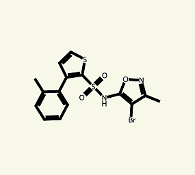 Cc1ccccc1-c1ccsc1S(=O)(=O)Nc1onc(C)c1Br